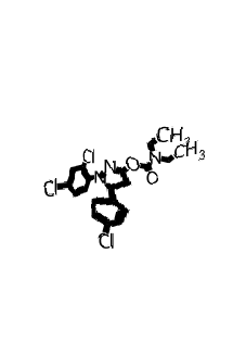 CCN(CC)C(=O)OC1=NN(c2ccc(Cl)cc2Cl)C(c2ccc(Cl)cc2)C1